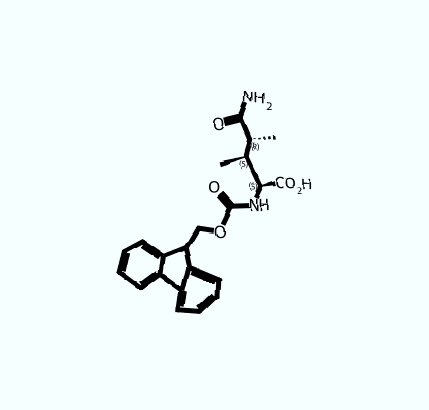 C[C@H]([C@H](NC(=O)OCC1c2ccccc2-c2ccccc21)C(=O)O)[C@@H](C)C(N)=O